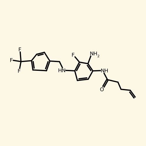 C=CCCC(=O)Nc1ccc(NCc2ccc(C(F)(F)F)cc2)c(F)c1N